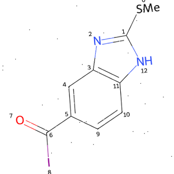 CSc1nc2cc(C(=O)I)ccc2[nH]1